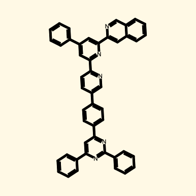 c1ccc(-c2cc(-c3ccc(-c4ccc(-c5cc(-c6ccccc6)nc(-c6ccccc6)n5)cc4)cn3)nc(-c3cc4ccccc4cn3)c2)cc1